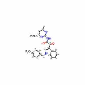 COc1cc(C)nc(NC(=O)C(=O)c2cn(Cc3ccc(C(F)(F)F)cc3)c3ccccc23)n1